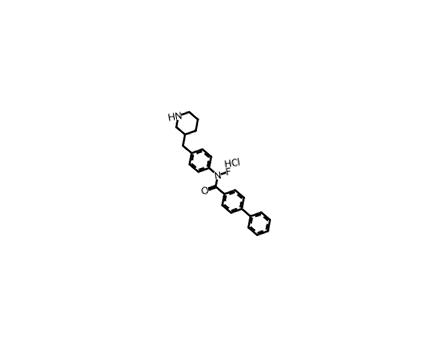 Cl.O=C(c1ccc(-c2ccccc2)cc1)N(F)c1ccc(CC2CCCNC2)cc1